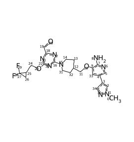 Cn1cc(-c2cnc(N)c(OCC3CCN(c4nc(C=O)nc(OCC5CC5(F)F)n4)CC3)c2)cn1